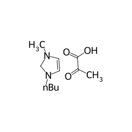 CC(=O)C(=O)O.CCCCN1C=CN(C)C1